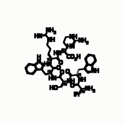 CC(C)[C@H](N)C(=O)N[C@@H](Cc1c[nH]c2ccccc12)C(=O)N[C@@H](CO)C(=O)N[C@@H](Cc1c[nH]c2ccccc12)C(=O)N[C@@H](CCCNC(=N)N)C(=O)N[C@@H](CCCNC(=N)N)C(=O)O